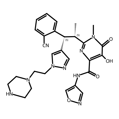 C[C@H](c1nc(C(=O)Nc2cnoc2)c(O)c(=O)n1C)[C@H](c1cnn(CCN2CCNCC2)c1)c1ccccc1C#N